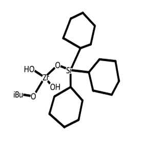 CCC(C)[O][Zr]([OH])([OH])[O][Si](C1CCCCC1)(C1CCCCC1)C1CCCCC1